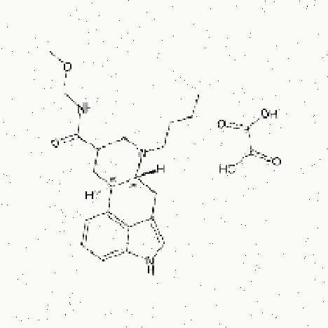 CCCCN1CC(C(=O)NCOC)C[C@@H]2c3cccc4[nH]cc(c34)C[C@H]21.O=C(O)C(=O)O